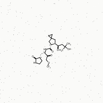 CC(C)(O)CC(=O)N1CC2(CC2)C[C@H]1C(=O)N[C@@H](C[C@@H]1CCNC1=O)C(=O)COC(F)(F)F